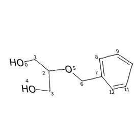 OCC(CO)OCc1ccccc1